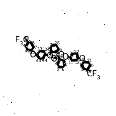 O=S(=O)(c1ccccc1Oc1ccc(Oc2ccc(C(F)(F)F)cc2)cc1)c1ccccc1Oc1ccc(Oc2ccc(C(F)(F)F)cc2)cc1